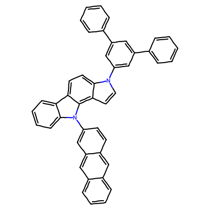 c1ccc(-c2cc(-c3ccccc3)cc(-n3ccc4c3ccc3c5ccccc5n(-c5ccc6cc7ccccc7cc6c5)c34)c2)cc1